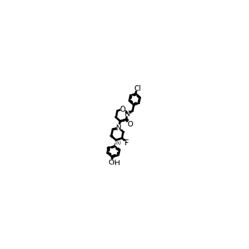 O=C1C(N2CC[C@@H](c3ccc(O)cc3)C(F)C2)CCON1Cc1ccc(Cl)cc1